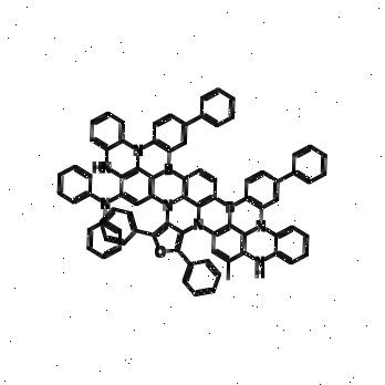 Cc1cc2c3c4c1Nc1ccccc1N4c1cc(-c4ccccc4)ccc1B3c1ccc3c4c1N2c1c(-c2ccccc2)oc(-c2ccccc2)c1N4c1cc(N(c2ccccc2)c2ccccc2)c2c4c1B3c1cc(-c3ccccc3)ccc1N4c1ccccc1N2